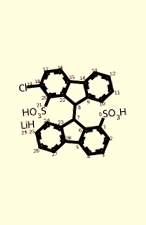 O=S(=O)(O)c1cccc2c1C(C1c3ccccc3-c3ccc(Cl)c(S(=O)(=O)O)c31)c1ccccc1-2.[LiH]